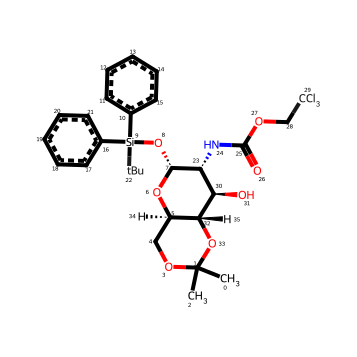 CC1(C)OC[C@H]2O[C@H](O[Si](c3ccccc3)(c3ccccc3)C(C)(C)C)[C@H](NC(=O)OCC(Cl)(Cl)Cl)[C@@H](O)[C@@H]2O1